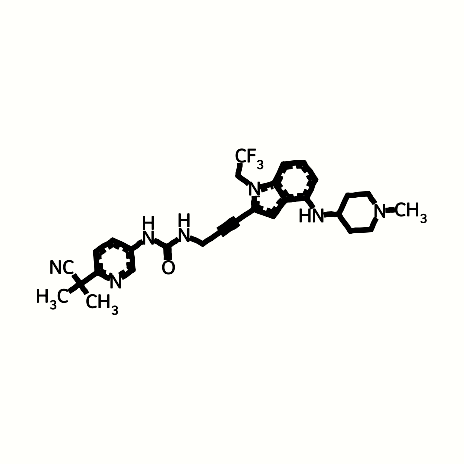 CN1CCC(Nc2cccc3c2cc(C#CCNC(=O)Nc2ccc(C(C)(C)C#N)nc2)n3CC(F)(F)F)CC1